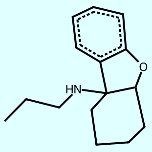 CCCNC12CCCCC1Oc1ccccc12